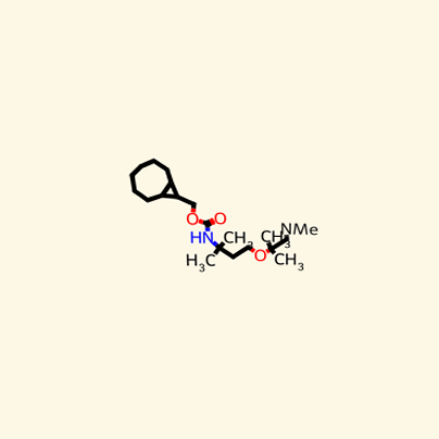 CNCC(C)(C)OCCC(C)(C)NC(=O)OCC1C2CCCCCCC21